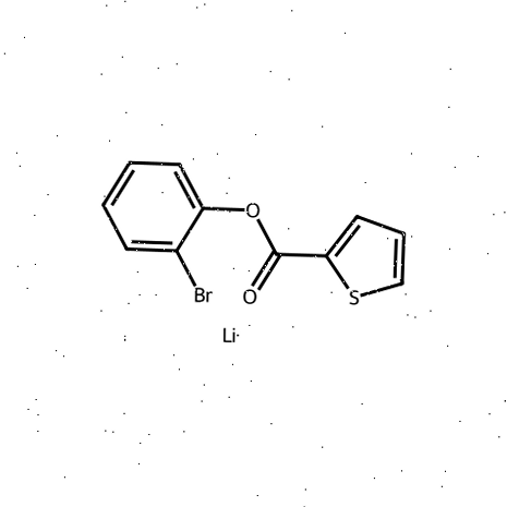 O=C(Oc1ccccc1Br)c1cccs1.[Li]